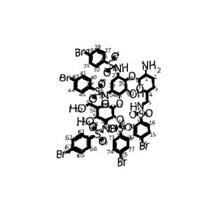 N[C@H]1CCC(CNS(=O)(=O)c2ccc(Br)cc2)O[C@@H]1OC1C(NS(=O)(=O)c2ccc(Br)cc2)CC(NS(=O)(=O)c2ccc(Br)cc2)[C@@H](O[C@@H]2OC(CO)[C@H](O)C(NS(=O)(=O)c3ccc(Br)cc3)[C@@H]2OS(=O)(=O)c2ccc(Br)cc2)[C@H]1O